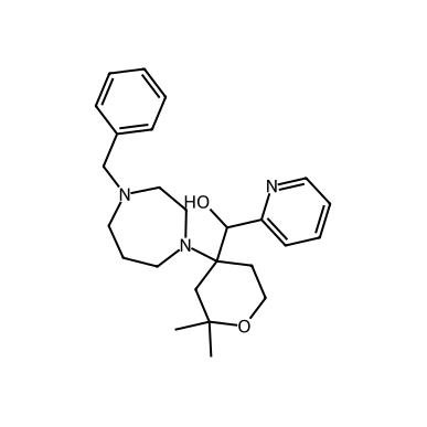 CC1(C)CC(C(O)c2ccccn2)(N2CCCN(Cc3ccccc3)CC2)CCO1